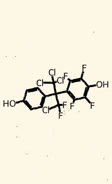 Oc1ccc(C(c2c(F)c(F)c(O)c(F)c2F)(C(F)(F)Cl)C(Cl)(Cl)Cl)cc1